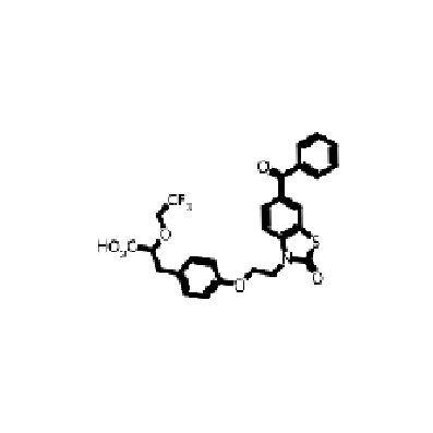 O=C(c1ccccc1)c1ccc2c(c1)sc(=O)n2CCOc1ccc(CC(OCC(F)(F)F)C(=O)O)cc1